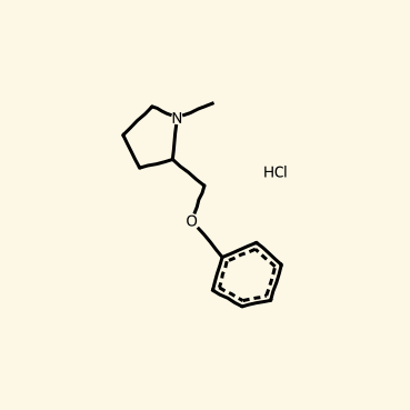 CN1CCCC1COc1ccccc1.Cl